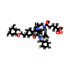 Cc1cc(C)c(C)c(OCCc2ccc(C3=C(C(=O)N(Cc4ccccc4F)C4CC4)[C@H]4CN(C(=O)CCC(C)(C)C(=O)O)C[C@@H](C3)N4)cc2)c1